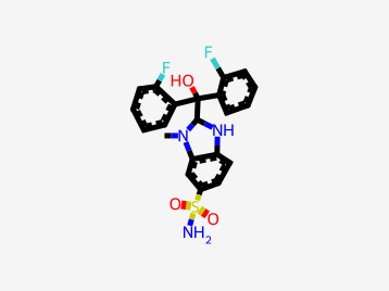 CN1c2cc(S(N)(=O)=O)ccc2NC1C(O)(c1ccccc1F)c1ccccc1F